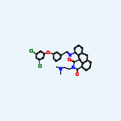 CN(C)CCN1C(=O)c2cccc3cc4cccc(/N=C/c5cccc(Oc6cc(Cl)cc(Cl)c6)c5)c4c(c23)C1=O